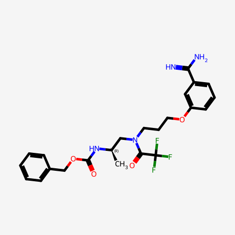 C[C@H](CN(CCCOc1cccc(C(=N)N)c1)C(=O)C(F)(F)F)NC(=O)OCc1ccccc1